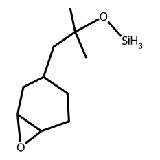 CC(C)(CC1CCC2OC2C1)O[SiH3]